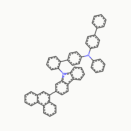 c1ccc(-c2ccc(N(c3ccccc3)c3ccc(-c4ccccc4-n4c5ccccc5c5ccc(-c6cc7ccccc7c7ccccc67)cc54)cc3)cc2)cc1